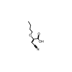 CCCCOC(=CC#N)C(=O)O